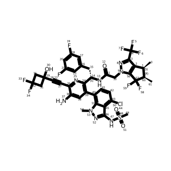 C[C@@H]1c2c(C(F)(F)F)nn(CC(=O)N[C@@H](Cc3cc(F)cc(F)c3)c3nc(C#CC4(O)CC(F)(F)C4)c(N)cc3-c3ccc(Cl)c4c(NS(C)(=O)=O)nn(C)c34)c2C(F)(F)[C@@H]1C